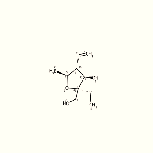 B[C@@H]1O[C@](CC)(CO)[C@H](O)[C@H]1C=C